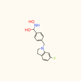 ONC(O)c1ccc(CN2CCc3ccc(F)cc32)cc1